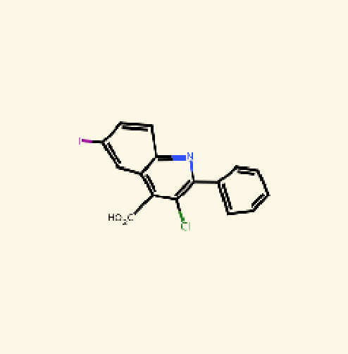 O=C(O)c1c(Cl)c(-c2ccccc2)nc2ccc(I)cc12